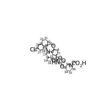 O=C(NS(=O)(=O)c1ccc2c(c1)N(CC1CCC1)CC1(CCCc3cc(Cl)ccc31)CO2)O[C@H]1CCCN(C(=O)O)C1